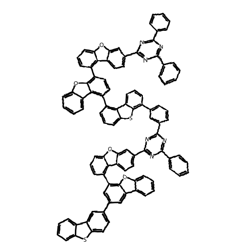 c1ccc(-c2nc(-c3cccc(-c4cccc5c4sc4cccc(-c6ccc(-c7cccc8oc9cc(-c%10nc(-c%11ccccc%11)nc(-c%11ccccc%11)n%10)ccc9c78)c7oc8ccccc8c67)c45)c3)nc(-c3ccc4c(c3)oc3cccc(-c5cc(-c6ccc7sc8ccccc8c7c6)cc6c5oc5ccccc56)c34)n2)cc1